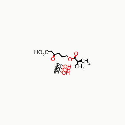 C=C(C)C(=O)OCCCC(=O)CC(=O)O.CC(C)O.CC(C)O.CC(C)O